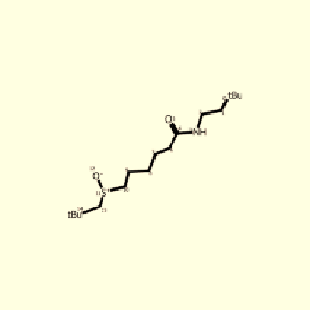 CC(C)(C)CCNC(=O)CCCCC[S+]([O-])CC(C)(C)C